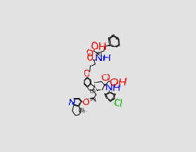 C[C@@H](COc1ccnc2c1[C@H](C)CCC2)C[C@H]1Cc2ccc(OCCCC(=O)N[C@H](CCc3ccccc3)C(=O)O)cc2C12CCC(Nc1cccc(Cl)c1)(C(=O)O)CC2